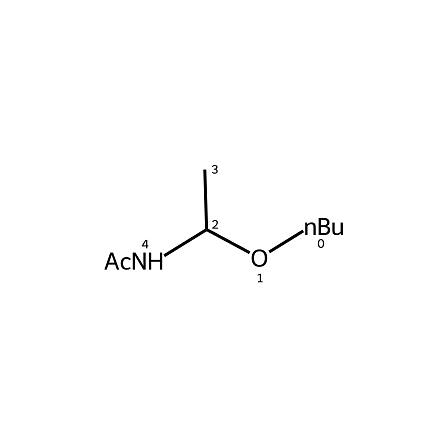 CCCCOC(C)NC(C)=O